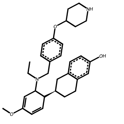 CCN(Cc1ccc(OC2CCNCC2)cc1)C1C=C(OC)C=CC1[C@@H]1CCc2cc(O)ccc2C1